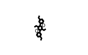 CCc1ccc2oc3c(CC)c4c(oc5ccc(CC)cc54)c(CC)c3c2c1